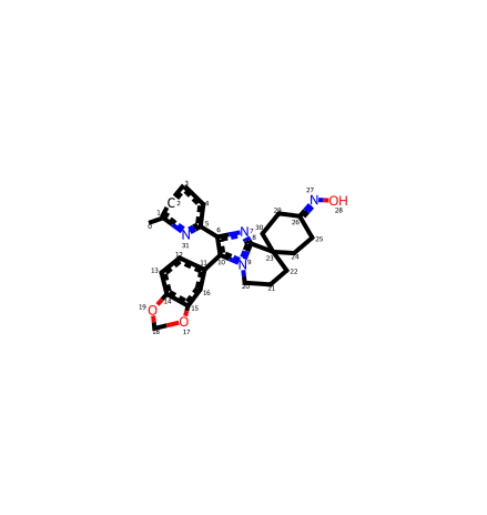 Cc1cccc(-c2nc3n(c2-c2ccc4c(c2)OCO4)CCCC32CCC(=NO)CC2)n1